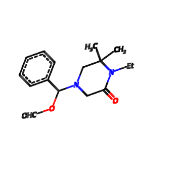 CCN1C(=O)CN(C(OC=O)c2ccccc2)CC1(C)C